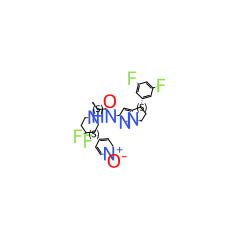 C[C@@H](C(=O)Nc1cc2n(n1)CC[C@H]2c1cc(F)cc(F)c1)N1CCC(F)(F)[C@@H](c2cc[n+]([O-])cc2)C1